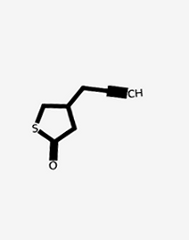 C#CCC1CSC(=O)C1